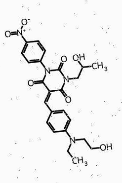 CCN(CCO)c1ccc(C=C2C(=O)N(CC(C)O)C(=O)N(c3ccc([N+](=O)[O-])cc3)C2=O)cc1